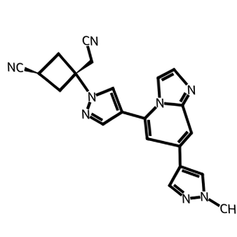 Cn1cc(-c2cc(-c3cnn([C@]4(CC#N)C[C@@H](C#N)C4)c3)n3ccnc3c2)cn1